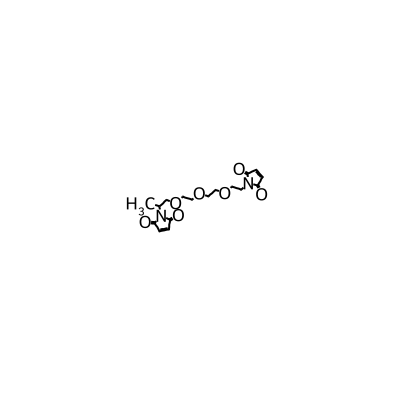 CC(COCCOCCOCCN1C(=O)C=CC1=O)N1C(=O)C=CC1=O